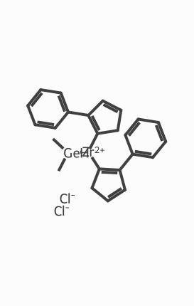 [CH3][GeH]([CH3])[Zr+2]([C]1=C(c2ccccc2)C=CC1)[C]1=C(c2ccccc2)C=CC1.[Cl-].[Cl-]